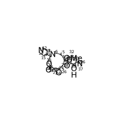 CO[C@]1(C)C[C@@H](C)CN(C)[C@H](c2ccncc2)COC(=O)C(C)(C)C(=O)[C@H](C)[C@H]1O[C@@H]1O[C@H](C)C[C@H](N(C)C)[C@H]1O